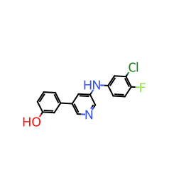 Oc1cccc(-c2cncc(Nc3ccc(F)c(Cl)c3)c2)c1